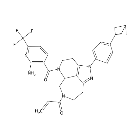 C=CC(=O)N1CCc2nn(-c3ccc(C45CC(C4)C5)cc3)c3c2C(C1)N(C(=O)c1ccc(C(F)(F)F)nc1N)CC3